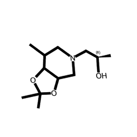 CC1CN(C[C@@H](C)O)CC2OC(C)(C)OC12